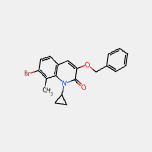 Cc1c(Br)ccc2cc(OCc3ccccc3)c(=O)n(C3CC3)c12